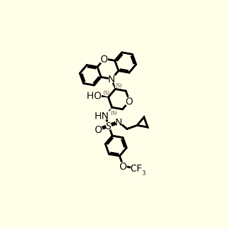 O=S(=NCC1CC1)(N[C@H]1COC[C@H](N2c3ccccc3Oc3ccccc32)[C@@H]1O)c1ccc(OC(F)(F)F)cc1